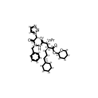 CCC[C@@H](C(=O)NN(Cc1ccccc1)C(=O)Cn1ccnn1)[C@H](CCCC1CCCCC1)C(=O)OC1CCCCO1